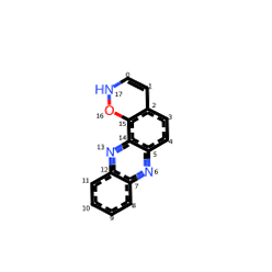 C1=Cc2ccc3nc4ccccc4nc3c2ON1